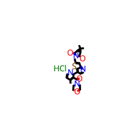 Cc1ccnc(-c2ccnc3cc(CN4C(=O)C5C(C4=O)C5(C)C)sc23)c1C(=O)N1CCOCC1.Cl